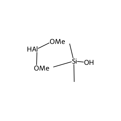 C[O][AlH][O]C.C[Si](C)(C)O